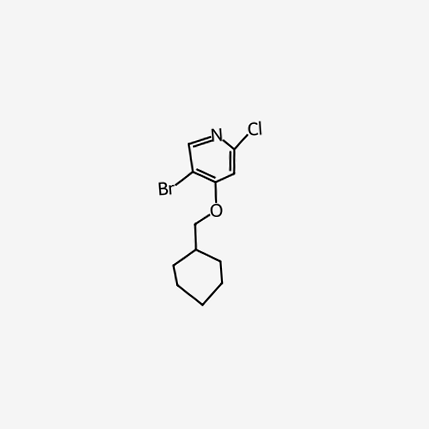 Clc1cc(OCC2CCCCC2)c(Br)cn1